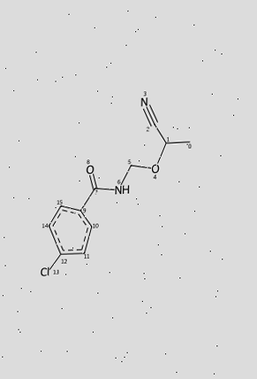 CC(C#N)OCNC(=O)c1ccc(Cl)cc1